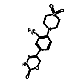 O=C1NN=C(c2ccc(N3CCS(=O)(=O)CC3)c(C(F)(F)F)c2)CO1